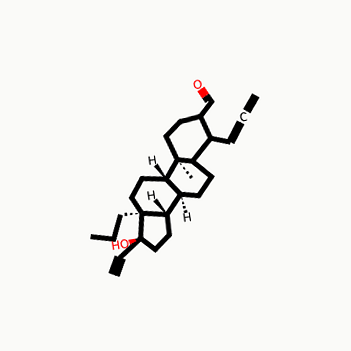 C#C[C@@]1(O)CC[C@H]2[C@@H]3CCC4C(C=C=C)C(C=O)CC[C@]4(C)[C@H]3CC[C@@]21CCC